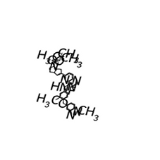 Cc1cc(Nc2ncnc3ccc(C4=CC5CCN(C(=O)OC(C)(C)C)C5C4)nc23)c(F)cc1Oc1ccc2c(c1)ncn2C